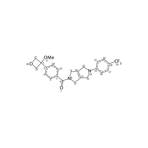 COC1(c2ccc(C(=O)N3CC4=C(C3)CN(c3ccc(C(F)(F)F)cc3)C4)cc2)COC1